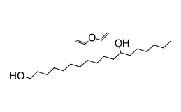 C=COC=C.CCCCCCC(O)CCCCCCCCCCCO